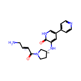 NC/C=C/C(=O)N1CC[C@@H](Nc2cc(-c3ccncc3)c[nH]c2=O)C1